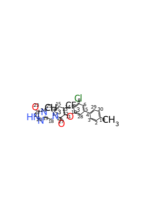 Cc1ccc(-c2cc(Cl)cc(Oc3c(C(F)(F)F)ccn(Cc4n[nH]c(=O)n4C)c3=O)c2)cc1